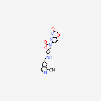 N#Cc1nccc2c1CC(CNC1CC3(C1)CN(c1ccc4c(n1)NC(=O)CO4)C(=O)O3)C2